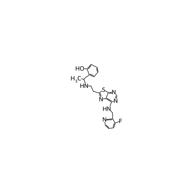 CC(NCCc1nc2c(NCc3ncccc3F)ncnc2s1)c1ccccc1O